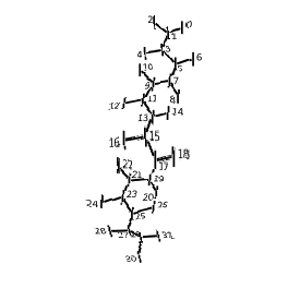 II(I)I(I)I(I)I(I)I(I)I(I)I(I)I(I)I(I)I(I)I(I)I(I)I(I)I(I)I(I)I